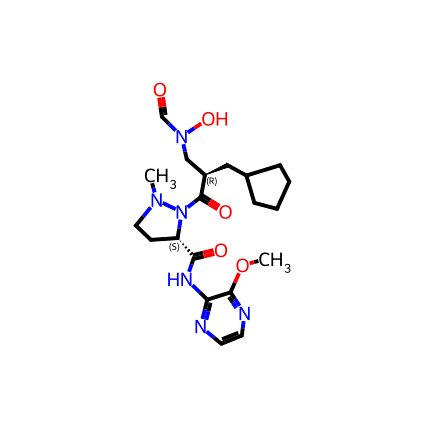 COc1nccnc1NC(=O)[C@@H]1CCN(C)N1C(=O)[C@H](CC1CCCC1)CN(O)C=O